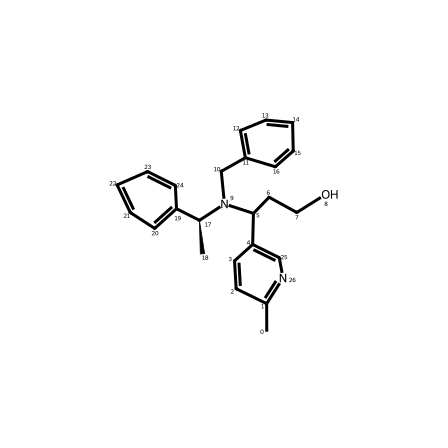 Cc1ccc(C(CCO)N(Cc2ccccc2)[C@@H](C)c2ccccc2)cn1